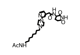 CC(=O)NCCCCCCCCN1CCN(c2cc(CC(=O)NC3CCC(=O)NC3=O)ccn2)CC1